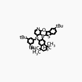 CC(C)(C)c1cc(N2c3cc4c(cc3B3c5sc6ccc(C(C)(C)C)cc6c5Oc5nccc2c53)C(C)(C)CCC4(C)C)cc(C(C)(C)C)c1